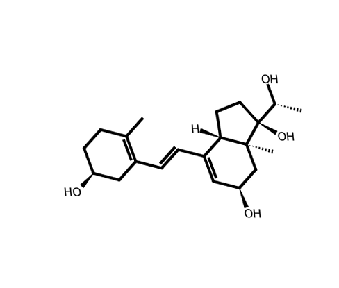 CC1=C(/C=C/C2=C[C@H](O)C[C@@]3(C)[C@H]2CC[C@]3(O)[C@@H](C)O)C[C@@H](O)CC1